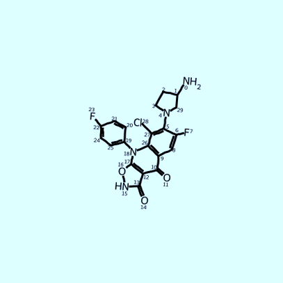 NC1CCN(c2c(F)cc3c(=O)c4c(=O)[nH]oc4n(-c4ccc(F)cc4)c3c2Cl)C1